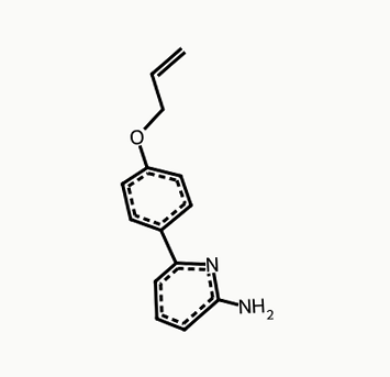 C=CCOc1ccc(-c2cccc(N)n2)cc1